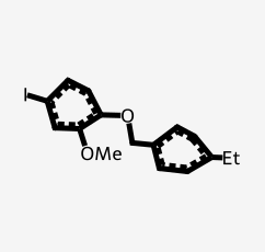 CCc1ccc(COc2ccc(I)cc2OC)cc1